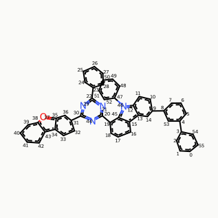 c1ccc(-c2cccc(-c3ccc4c(c3)c3cccc(-c5nc(-c6ccccc6)nc(-c6ccc7c(c6)oc6ccccc67)n5)c3n4-c3ccccc3)c2)cc1